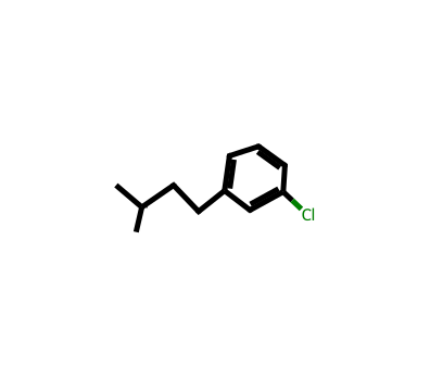 C[C](C)CCc1cccc(Cl)c1